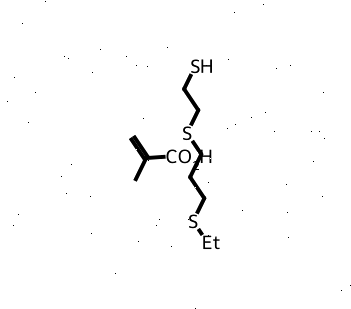 C=C(C)C(=O)O.CCSCCCSCCS